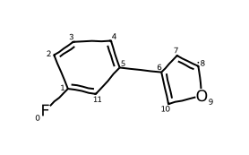 Fc1cccc(-c2c[c]oc2)c1